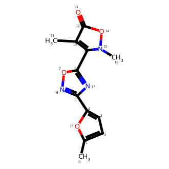 Cc1ccc(-c2noc(-c3c(C)c(=O)on3C)n2)o1